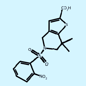 CC1(C)CN(S(=O)(=O)c2ccccc2[N+](=O)[O-])Cc2cc(C(=O)O)sc21